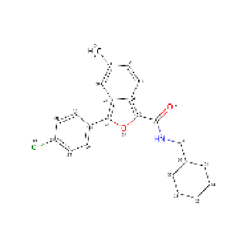 Cc1ccc2c(C(=O)NCC3CCCCC3)oc(-c3ccc(Cl)cc3)c2c1